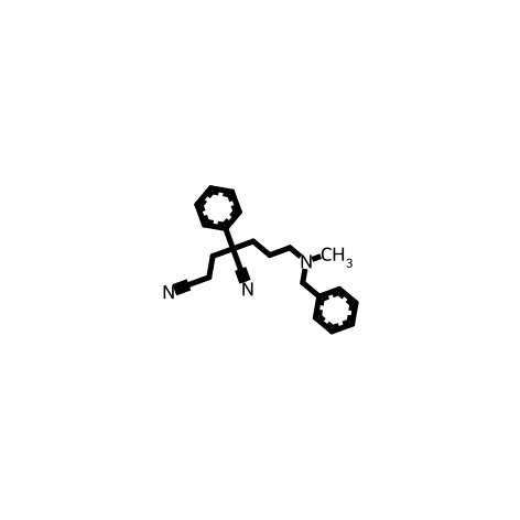 CN(CCCC(C#N)(CCC#N)c1ccccc1)Cc1ccccc1